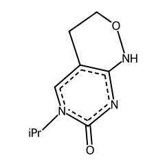 CC(C)n1cc2c(nc1=O)NOCC2